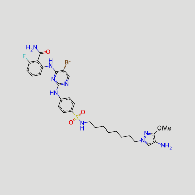 COc1nn(CCCCCCCCNS(=O)(=O)c2ccc(Nc3ncc(Br)c(Nc4cccc(F)c4C(N)=O)n3)cc2)cc1N